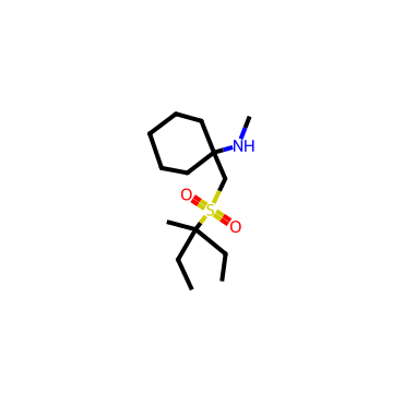 CCC(C)(CC)S(=O)(=O)CC1(NC)CCCCC1